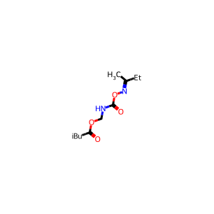 CCC(C)=NOC(=O)NCOC(=O)C(C)CC